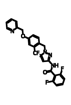 O=C(Nc1ccn(Cc2ccc(OCc3ccccn3)cc2C(F)(F)F)n1)c1c(F)cccc1F